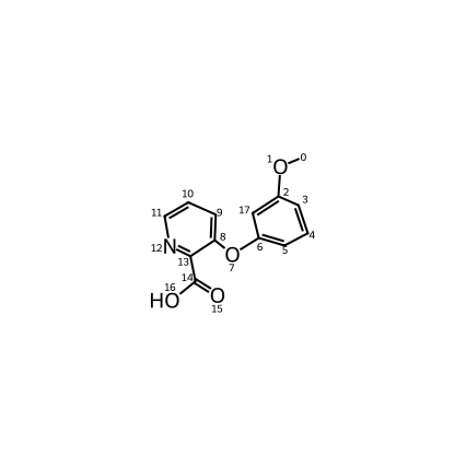 COc1cccc(Oc2cccnc2C(=O)O)c1